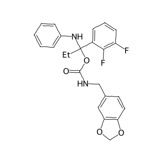 CCC(Nc1ccccc1)(OC(=O)NCc1ccc2c(c1)OCO2)c1cccc(F)c1F